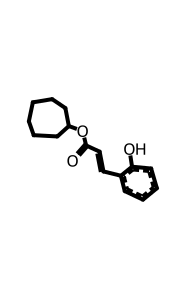 O=C(C=Cc1ccccc1O)OC1CCCCCC1